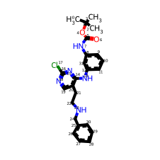 CC(C)(C)OC(=O)Nc1cccc(Nc2nc(Cl)ncc2CCNCc2ccccc2)c1